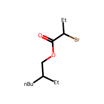 CCCCC(CC)COC(=O)C(Br)CC